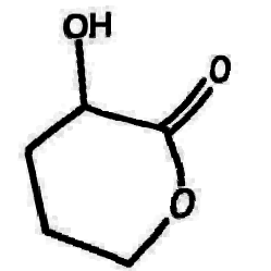 O=C1OCCCC1O